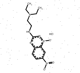 CCN(CC)CCNc1nc2ccc([N+](=O)[O-])cc2[n+]([O-])n1.Cl